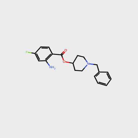 Nc1cc(F)ccc1C(=O)OC1CCN(Cc2ccccc2)CC1